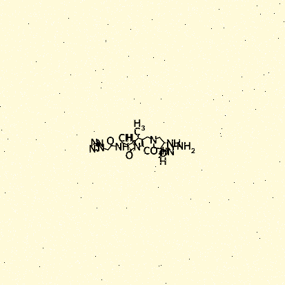 C[C@@H](NC(=O)Cn1cnnn1)[C@H]1C(=O)N2C(C(=O)O)=C(CN3C[C@H](NC(=N)N)[C@@H](O)C3)[C@H](C)[C@H]12